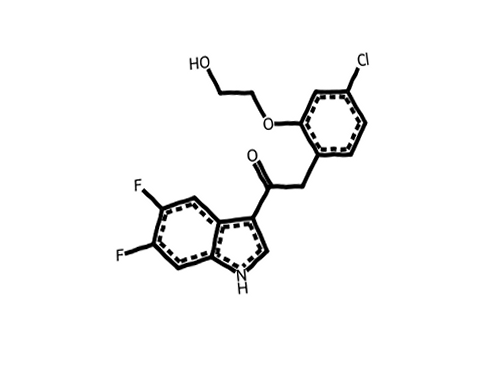 O=C(Cc1ccc(Cl)cc1OCCO)c1c[nH]c2cc(F)c(F)cc12